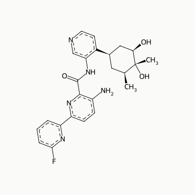 C[C@H]1C[C@@H](c2ccncc2NC(=O)c2nc(-c3cccc(F)n3)ccc2N)C[C@@H](O)[C@]1(C)O